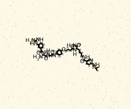 CC(C)=NNc1ccc(C(=O)NCCCCC(NC(=O)CCCOc2ccc(NC(=O)CNC(=O)C(N)NC(=O)c3cccc(NC(=N)N)c3)cc2)C(N)=O)cn1